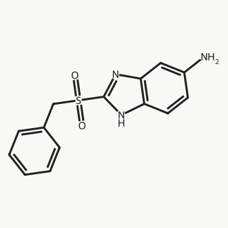 Nc1ccc2[nH]c(S(=O)(=O)Cc3ccccc3)nc2c1